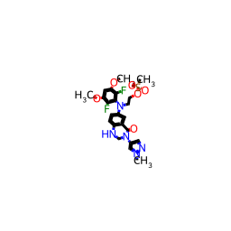 COc1cc(OC)c(F)c(N(CCOS(C)(=O)=O)c2ccc3c(c2)C(=O)N(c2cnn(C)c2)CN3)c1F